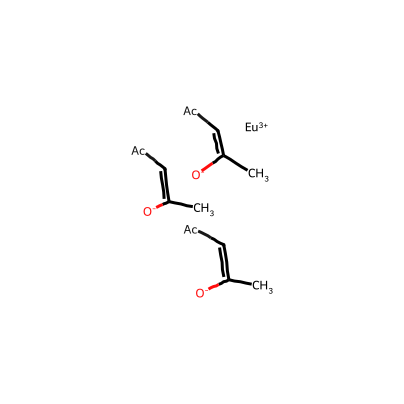 CC(=O)/C=C(/C)[O-].CC(=O)/C=C(/C)[O-].CC(=O)/C=C(/C)[O-].[Eu+3]